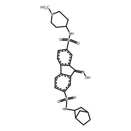 O=C(O)N1CCC(NS(=O)(=O)c2ccc3c(c2)/C(=N/O)c2cc(S(=O)(=O)NC4CC5CCC4C5)ccc2-3)CC1